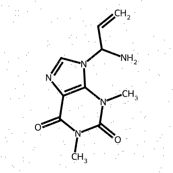 C=CC(N)n1cnc2c(=O)n(C)c(=O)n(C)c21